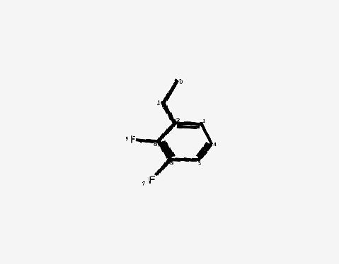 CCc1c[c]cc(F)c1F